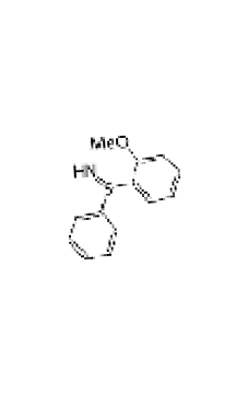 COc1ccccc1S(=N)c1ccccc1